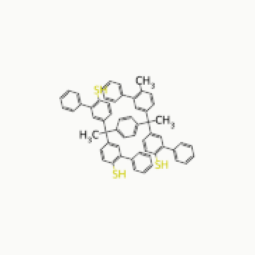 Cc1ccc(C(C)(c2ccc(C(C)(c3ccc(S)c(-c4ccccc4)c3)c3ccc(S)c(-c4ccccc4)c3)cc2)c2ccc(S)c(-c3ccccc3)c2)cc1-c1ccccc1